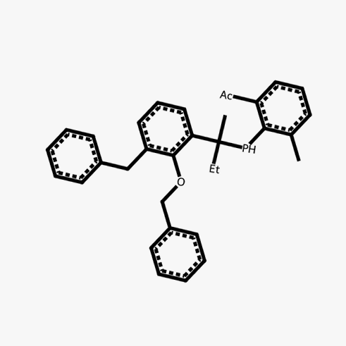 CCC(C)(Pc1c(C)cccc1C(C)=O)c1cccc(Cc2ccccc2)c1OCc1ccccc1